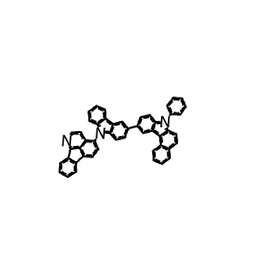 c1ccc(-n2c3ccc(-c4ccc5c(c4)c4ccccc4n5-c4ccc5c6c(nccc46)-c4ccccc4-5)cc3c3c4ccccc4ccc32)cc1